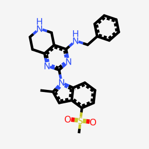 Cc1cc2c(S(C)(=O)=O)cccc2n1-c1nc2c(c(NCc3ccccc3)n1)CNCC2